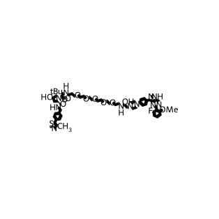 COc1cccc(F)c1-c1ncc2[nH]nc(-c3ccc(N4CCN(CC(O)NCCOCCOCCOCCOCCOCCC(=O)N[C@H](C(=O)N5C[C@H](O)C[C@H]5C(=O)NCc5ccc(-c6scnc6C)cc5)C(C)(C)C)CC4)cc3)c2n1